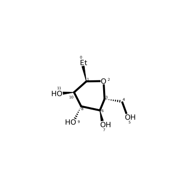 CC[C@H]1O[C@H](CO)[C@@H](O)[C@H](O)[C@H]1O